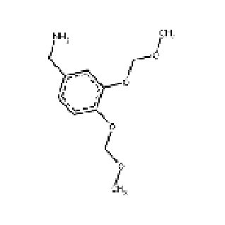 COCOc1ccc(CN)cc1OCOC